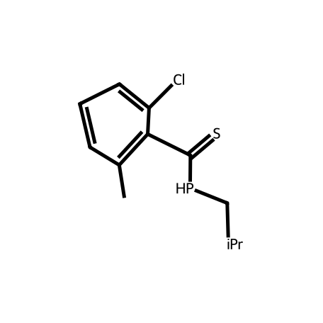 Cc1cccc(Cl)c1C(=S)PCC(C)C